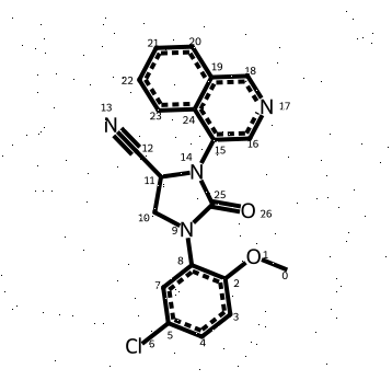 COc1ccc(Cl)cc1N1CC(C#N)N(c2cncc3ccccc23)C1=O